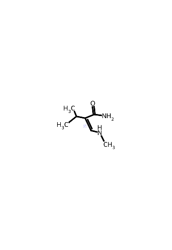 CN/C=C(\C(N)=O)C(C)C